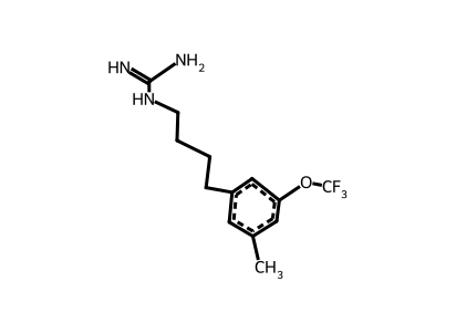 Cc1cc(CCCCNC(=N)N)cc(OC(F)(F)F)c1